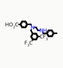 Cc1ccc(CNCCN(Cc2ccc(C(=O)O)cc2)Cc2cc(C(F)(F)F)cc(C(F)(F)F)c2)cc1